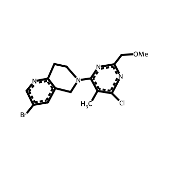 COCc1nc(Cl)c(C)c(N2CCc3ncc(Br)cc3C2)n1